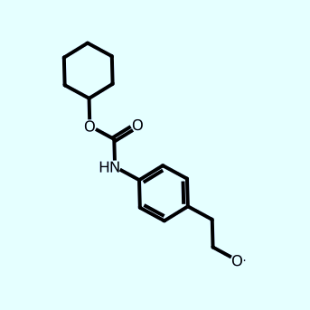 [O]CCc1ccc(NC(=O)OC2CCCCC2)cc1